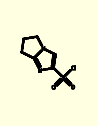 O=S(=O)(Cl)c1cn2c(n1)CCC2